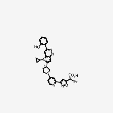 CC(C)C(C(=O)O)c1cc(-c2cc(N3CC[C@@H](c4cc5nnc(-c6ccccc6O)cc5n4C4CC4)C3)ccn2)no1